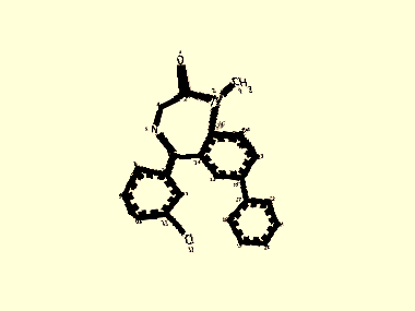 CN1C(=O)CN=C(c2cccc(Cl)c2)c2cc(-c3ccccc3)ccc21